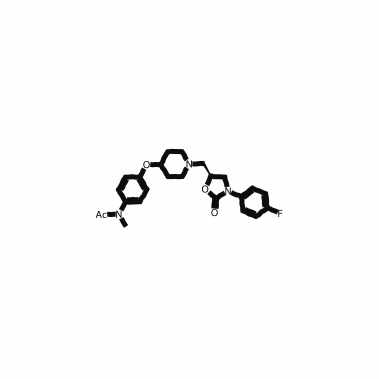 CC(=O)N(C)c1ccc(OC2CCN(C[C@H]3CN(c4ccc(F)cc4)C(=O)O3)CC2)cc1